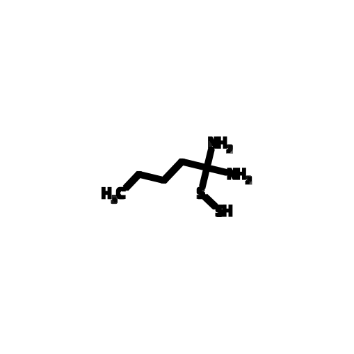 CCCCC(N)(N)SS